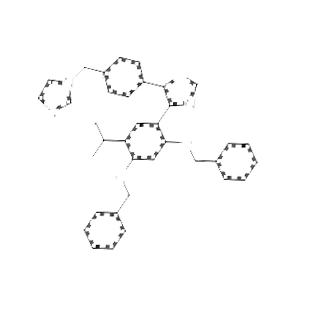 CC(C)c1cc(-c2ncoc2-c2ccc(Cn3ccnc3)cc2)c(OCc2ccccc2)cc1OCc1ccccc1